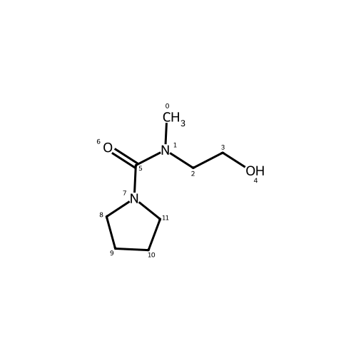 CN(CCO)C(=O)N1CCCC1